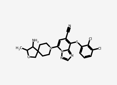 CC1OCC2(CCN(c3cc(C#N)c(Sc4cccc(Cl)c4Cl)c4ncnn34)CC2)C1N